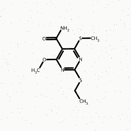 CCSc1nc(OC)c(C(N)=O)c(SC)n1